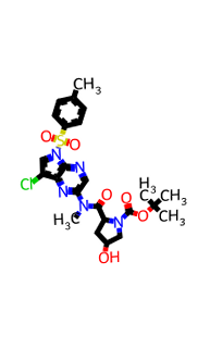 Cc1ccc(S(=O)(=O)n2cc(Cl)c3nc(N(C)C(=O)C4CC(O)CN4C(=O)OC(C)(C)C)cnc32)cc1